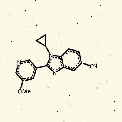 COc1cncc(-c2nc3cc(C#N)ccc3n2C2CC2)c1